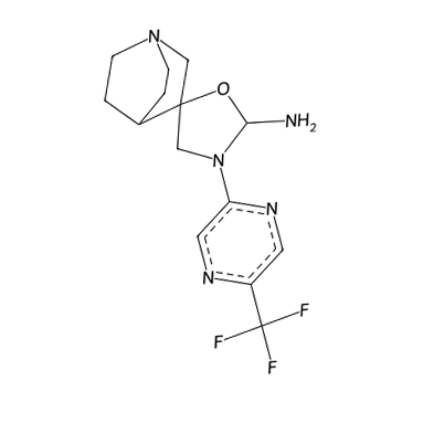 NC1OC2(CN3CCC2CC3)CN1c1cnc(C(F)(F)F)cn1